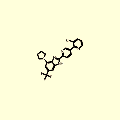 FC(F)(F)c1cc(N2CCCC2)c2nc(-c3ccc(-c4ncccc4Cl)cn3)[nH]c2c1